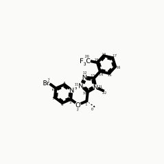 C[C@H](Oc1ccc(Br)cn1)c1nnc(-c2ccccc2C(F)(F)F)n1C